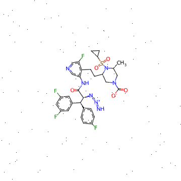 CC1CN(C(=O)[O-])CC(CCc2c(F)cncc2NC(=O)[C@@H](N=[N+]=N)[C@@H](c2ccc(F)cc2)c2cc(F)cc(F)c2)N1S(=O)(=O)C1CC1